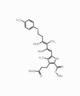 CCCCOC(=O)c1[nH]c(/C=C(NC)/C(C)=C(\C=O)CCSc2ccc(C)cc2)c(C)c1CCC(=O)OC